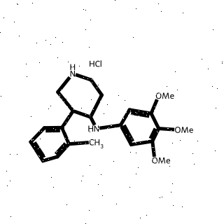 COc1cc(NC2CCNCC2c2ccccc2C)cc(OC)c1OC.Cl